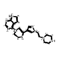 C1=C(c2cnn(CCN3CCNCC3)c2)SCCN1c1ncnc2[nH]ccc12